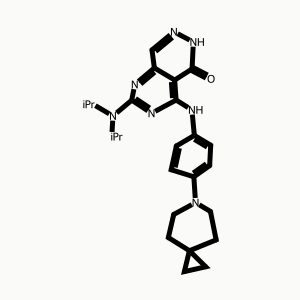 CC(C)N(c1nc(Nc2ccc(N3CCC4(CC3)CC4)cc2)c2c(=O)[nH]ncc2n1)C(C)C